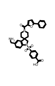 NCc1ccc2c(c1)C1(CCN(C(=O)c3ccc(-c4ccccc4)o3)CC1)CN2S(=O)(=O)c1ccc(C(=O)O)cc1